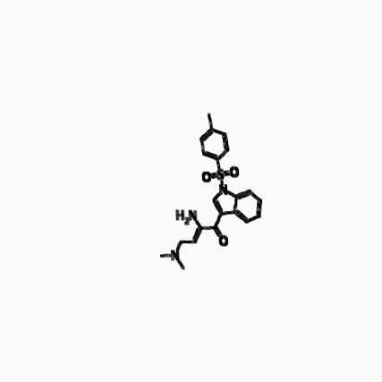 Cc1ccc(S(=O)(=O)n2cc(C(=O)/C(N)=C/CN(C)C)c3ccccc32)cc1